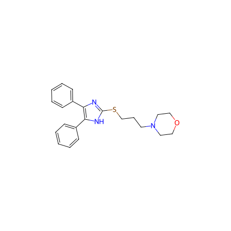 c1ccc(-c2nc(SCCCN3CCOCC3)[nH]c2-c2ccccc2)cc1